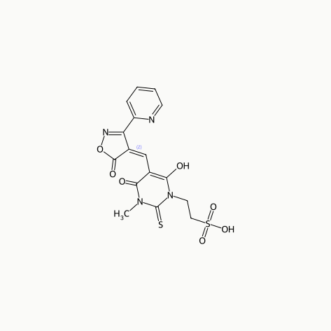 Cn1c(=O)c(/C=C2\C(=O)ON=C2c2ccccn2)c(O)n(CCS(=O)(=O)O)c1=S